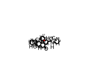 Cc1ncccc1NC(=O)c1ccc2c(c1)C(=O)C[C@@H]1C[C@@](O)(C3C=CC=CC3)[C@](C)(O)CC21c1ccccc1